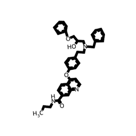 CCCNC(=O)c1ccc2c(Oc3ccc(CCN(Cc4ccccc4)CC(O)COc4ccccc4)cc3)ccnc2c1